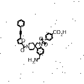 NCc1ccc2c(c1)C1(CCN(C(=O)c3ccc(C#Cc4ccccc4)o3)CC1)CN2S(=O)(=O)c1ccc(C(=O)O)cc1